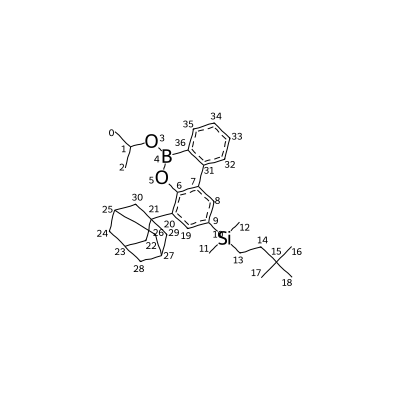 CC(C)OB1Oc2c(cc([Si](C)(C)CCC(C)(C)C)cc2C23CC4CC(CC(C4)C2)C3)-c2ccccc21